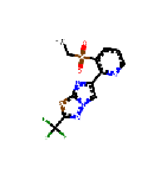 CCS(=O)(=O)c1cccnc1-c1cn2nc(C(F)(F)F)sc2n1